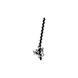 CCCCCCCCCCCCCCCCCCOc1c2nc(SC)nc(C(=O)OCC)c2nn1C